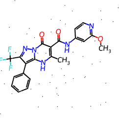 COc1cc(NC(=O)c2c(C)[nH]c3c(-c4ccccc4)c(C(F)(F)F)nn3c2=O)ccn1